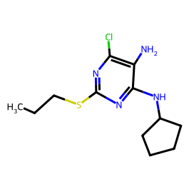 CCCSc1nc(Cl)c(N)c(NC2CCCC2)n1